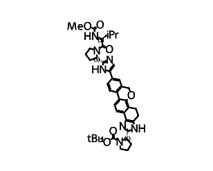 COC(=O)N[C@H](C(=O)N1CCC[C@H]1c1ncc(-c2ccc3c(c2)COc2c-3ccc3c2CCc2[nH]c([C@@H]4CCCN4C(=O)OC(C)(C)C)nc2-3)[nH]1)C(C)C